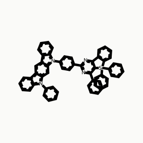 c1ccc(-c2nc(-c3ccc(-n4c5ccccc5c5cc6c7ccccc7n(-c7ccccc7)c6cc54)cc3)nc3c2[Si](c2ccccc2)(c2ccccc2)c2ccccc2-3)cc1